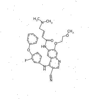 COCCOc1cc2ncc(C#N)c(Nc3ccc(Oc4ccccc4)c(F)c3)c2cc1NC(=O)/C=C/CN(C)C